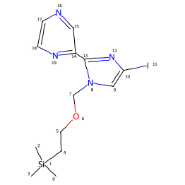 C[Si](C)(C)CCOCn1cc(I)nc1-c1cnccn1